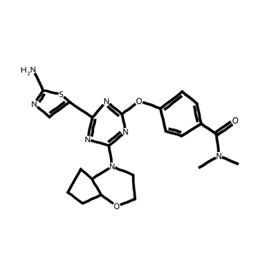 CN(C)C(=O)c1ccc(Oc2nc(-c3cnc(N)s3)nc(N3CCOC4CCCC43)n2)cc1